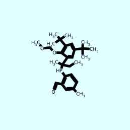 CCC(C)(Pc1ccc(C)cc1C=O)c1cc(C(C)(C)C)cc(C(C)(C)C)c1OCOC